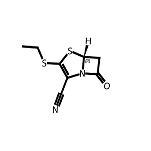 CCSC1=C(C#N)N2C(=O)C[C@H]2S1